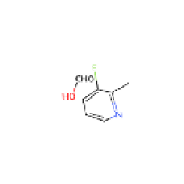 Cc1ncccc1F.O=CO